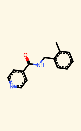 Cc1ccccc1CNC(=O)c1ccncc1